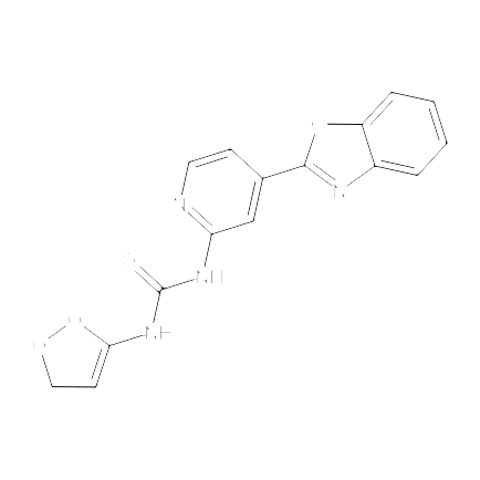 O=C(NC1=CCOO1)Nc1cc(-c2nc3ccccc3o2)ccn1